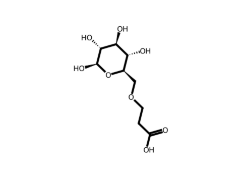 O=C(O)CCOC[C@H]1O[C@@H](O)[C@H](O)[C@@H](O)[C@@H]1O